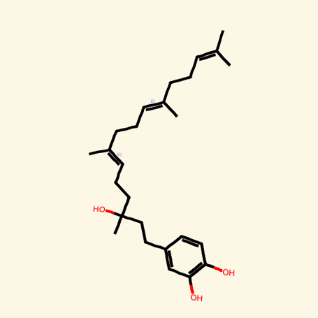 CC(C)=CCC/C(C)=C/CC/C(C)=C/CCC(C)(O)CCc1ccc(O)c(O)c1